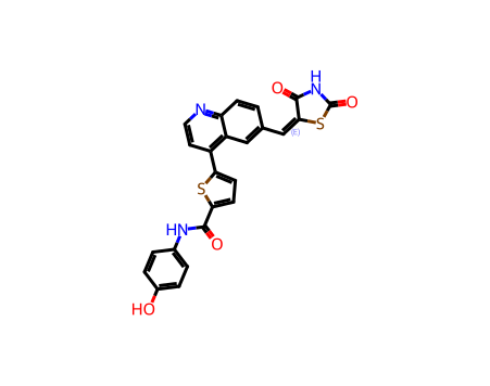 O=C1NC(=O)/C(=C\c2ccc3nccc(-c4ccc(C(=O)Nc5ccc(O)cc5)s4)c3c2)S1